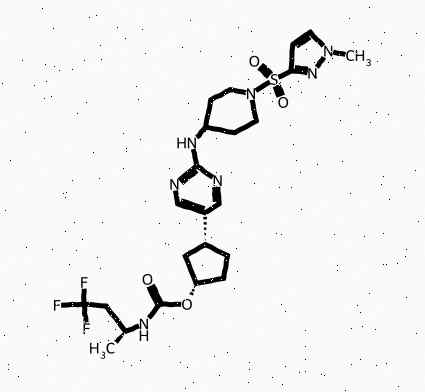 C[C@@H](CC(F)(F)F)NC(=O)O[C@H]1CC[C@@H](c2cnc(NC3CCN(S(=O)(=O)c4ccn(C)n4)CC3)nc2)C1